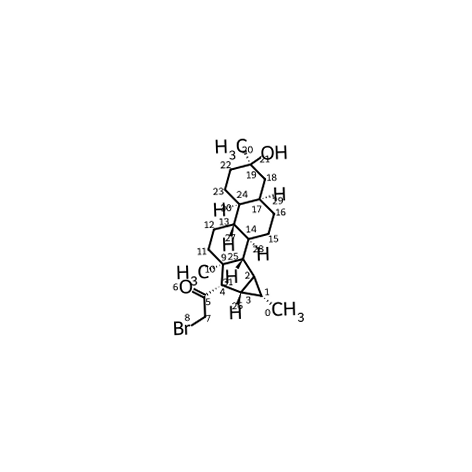 C[C@H]1C2[C@H]1[C@H](C(=O)CBr)[C@@]1(C)CC[C@H]3[C@@H](CC[C@@H]4C[C@](C)(O)CC[C@@H]43)[C@H]21